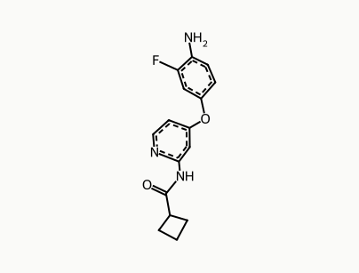 Nc1ccc(Oc2ccnc(NC(=O)C3CCC3)c2)cc1F